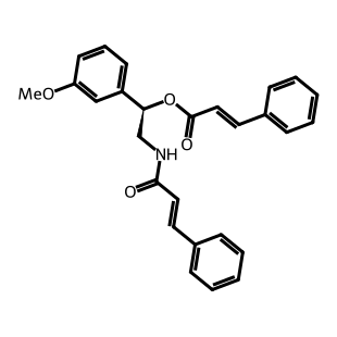 COc1cccc([C@H](CNC(=O)C=Cc2ccccc2)OC(=O)C=Cc2ccccc2)c1